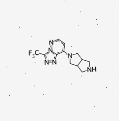 FC(F)(F)c1nnc2c(N3CC4CNCC4C3)ccnn12